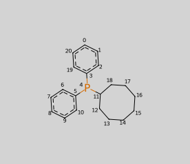 c1ccc(P(c2ccccc2)C2CCCCCCC2)cc1